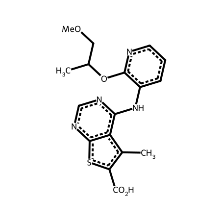 COCC(C)Oc1ncccc1Nc1ncnc2sc(C(=O)O)c(C)c12